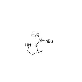 CCCCN(C)[C]1NCCN1